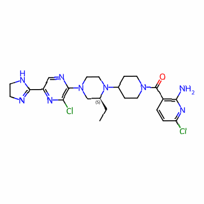 CC[C@H]1CN(c2ncc(C3=NCCN3)nc2Cl)CCN1C1CCN(C(=O)c2ccc(Cl)nc2N)CC1